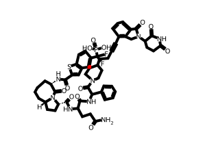 NC(=O)CCC(NC(=O)[C@@H]1CC[C@@H]2CCCC[C@H](NC(=O)c3cc4cc(C(F)(F)P(=O)(O)O)ccc4s3)C(=O)N21)C(=O)NC(C(=O)N1CCC(CCC#Cc2cccc3c2CN(C2CCC(=O)NC2=O)C3=O)CC1)c1ccccc1